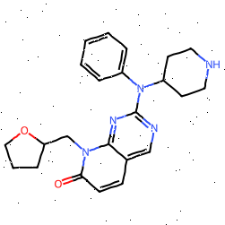 O=c1ccc2cnc(N(c3ccccc3)C3CCNCC3)nc2n1CC1CCCO1